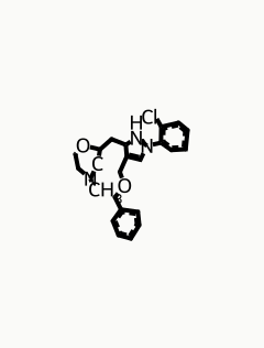 CN1CCOC(CC2NN(c3ccccc3Cl)C=C2COCc2ccccc2)C1